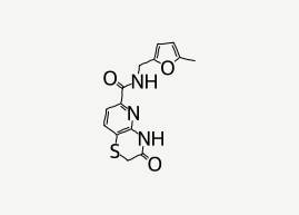 Cc1ccc(CNC(=O)c2ccc3c(n2)NC(=O)CS3)o1